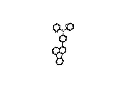 c1ccc(N(c2ccc(-c3ccc4c5c(cccc35)-c3ccccc3-4)cc2)c2ccccn2)nc1